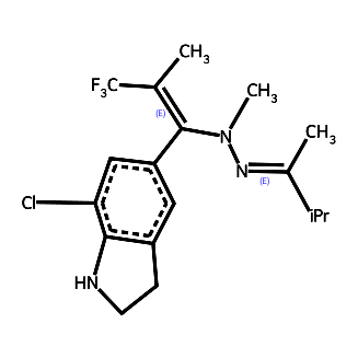 C/C(=N\N(C)/C(=C(\C)C(F)(F)F)c1cc(Cl)c2c(c1)CCN2)C(C)C